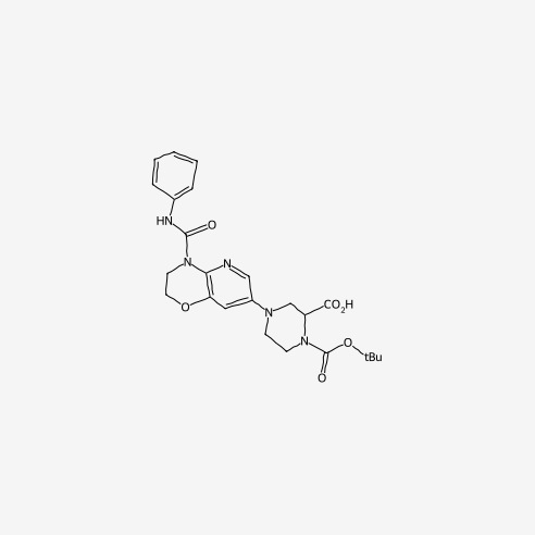 CC(C)(C)OC(=O)N1CCN(c2cnc3c(c2)OCCN3C(=O)Nc2ccccc2)CC1C(=O)O